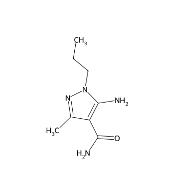 CCCn1nc(C)c(C(N)=O)c1N